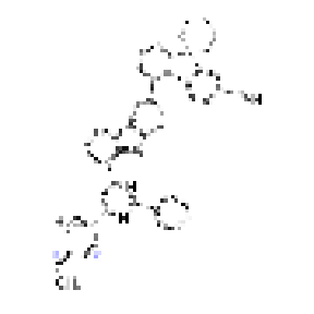 C=C(/C=C\C=C/C)c1cc(-c2cccc3c2sc2ccc(-c4cccc5c4-c4ccc(C#N)cc4C54CCCCC4)cc23)nc(-c2ccccc2)n1